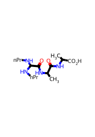 CCCNC(NCCC)C(=O)NC(C)C(=O)NC(C)C(=O)O